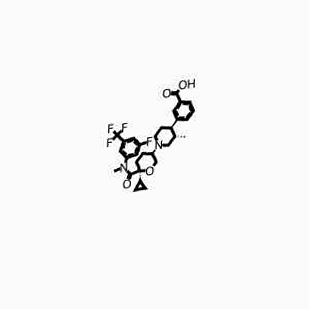 C[C@@H]1CN([C@@H]2CC[C@@](C(=O)N(C)c3cc(F)cc(C(F)(F)F)c3)(C3CC3)OC2)CC[C@H]1c1cccc(C(=O)O)c1